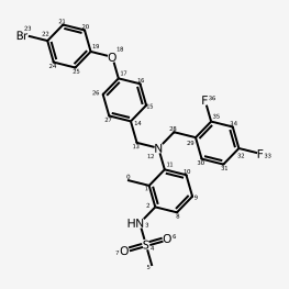 Cc1c(NS(C)(=O)=O)cccc1N(Cc1ccc(Oc2ccc(Br)cc2)cc1)Cc1ccc(F)cc1F